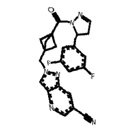 N#Cc1cnc2cn(CC34CC(C(=O)N5N=CCC5c5cc(F)cc(F)c5)(C3)C4)nc2c1